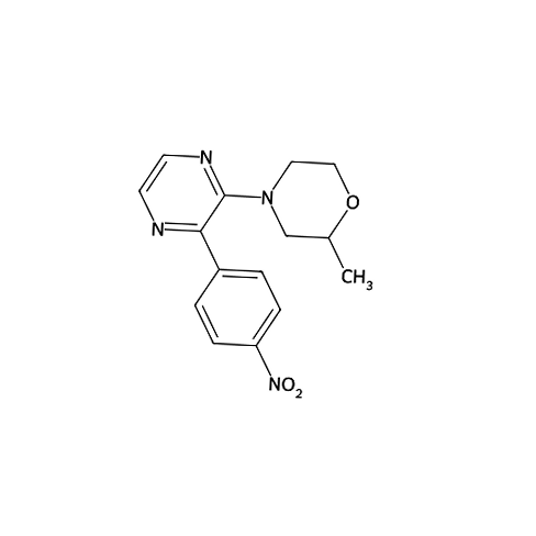 CC1CN(c2nccnc2-c2ccc([N+](=O)[O-])cc2)CCO1